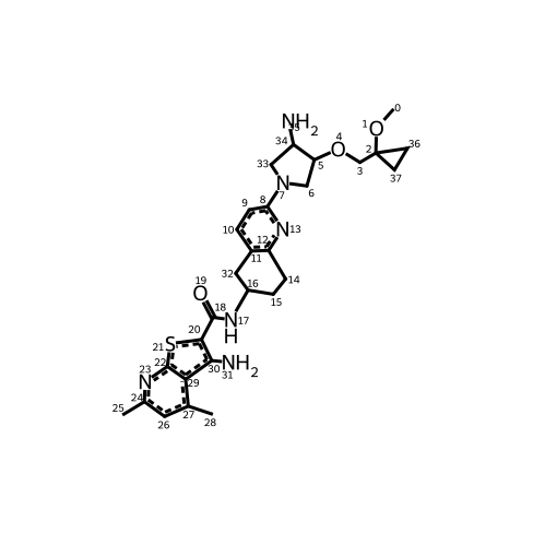 COC1(COC2CN(c3ccc4c(n3)CCC(NC(=O)c3sc5nc(C)cc(C)c5c3N)C4)CC2N)CC1